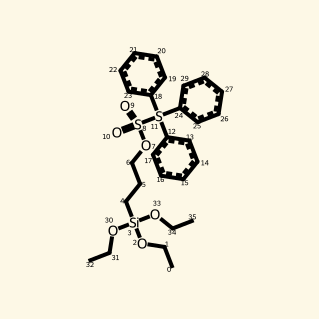 CCO[Si](CCCOS(=O)(=O)S(c1ccccc1)(c1ccccc1)c1ccccc1)(OCC)OCC